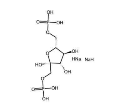 O=P(O)(O)OC[C@H]1O[C@](O)(COP(=O)(O)O)[C@@H](O)[C@@H]1O.[NaH].[NaH]